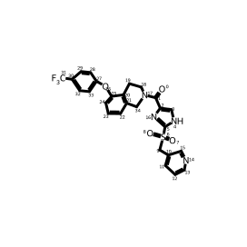 O=C(c1c[nH]c(S(=O)(=O)Cc2cccnc2)n1)N1CCc2c(cccc2Oc2ccc(C(F)(F)F)cc2)C1